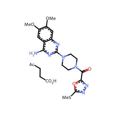 CC(=O)CCC(=O)O.COc1cc2nc(N3CCN(C(=O)c4nnc(SC)o4)CC3)nc(N)c2cc1OC